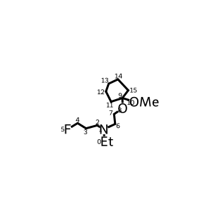 CCN(CCCF)CCOC1(OC)CCCCC1